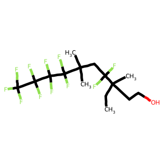 CCC(C)(CCO)C(F)(F)CC(C)(C)C(F)(F)C(F)(F)C(F)(F)C(F)(F)F